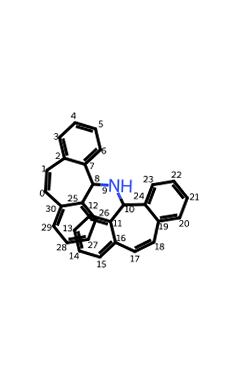 C1=Cc2ccccc2C(NC2c3ccccc3C=Cc3ccccc32)c2ccccc21